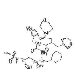 CCCS(=O)(=O)NC[C@@H](O)C[C@H](O)[C@H](CC1CCCCC1)NC(=O)[C@H](Cc1c[nH]cn1)NC(=O)C(CC(=O)N1CCOCC1)Cc1ccccc1